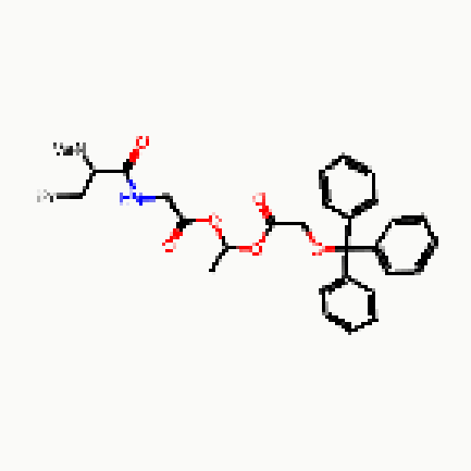 CNC(CC(C)C)C(=O)NCC(=O)OC(C)OC(=O)COC(c1ccccc1)(c1ccccc1)c1ccccc1